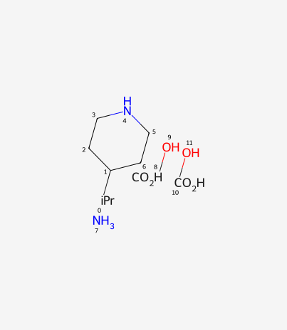 CC(C)C1CCNCC1.N.O=C(O)O.O=C(O)O